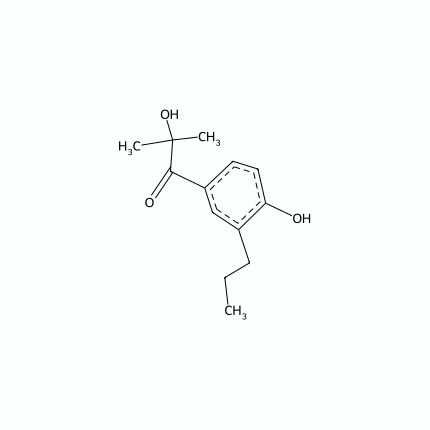 CCCc1cc(C(=O)C(C)(C)O)ccc1O